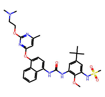 COc1c(NC(=O)Nc2ccc(Oc3cc(C)nc(OCCN(C)C)n3)c3ccccc23)cc(C(C)(C)C)cc1NS(C)(=O)=O